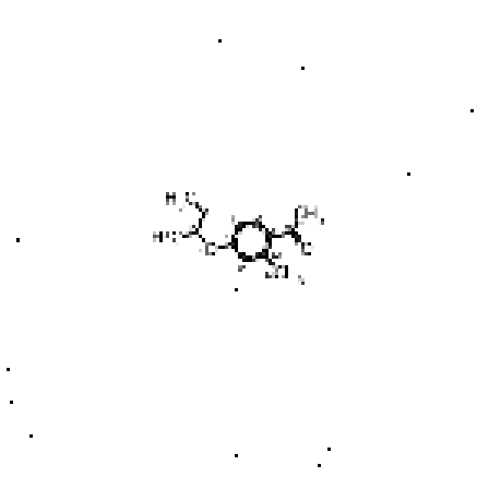 CCC(C)Oc1ccc(C(C)=O)c(C)c1